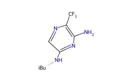 CC[C@@H](C)Nc1cnc(C(F)(F)F)c(N)n1